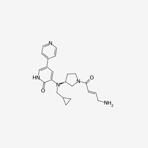 NCC=CC(=O)N1CC[C@H](N(CC2CC2)c2cc(-c3ccncc3)c[nH]c2=O)C1